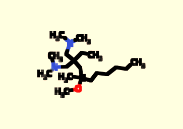 CCCCCC[Si](C)(CC(CC)(CN(C)C)CN(C)C)OC